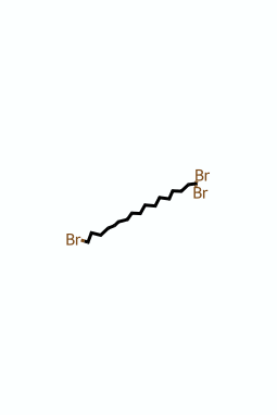 BrCCCCCCCCCCCCCCCCC(Br)Br